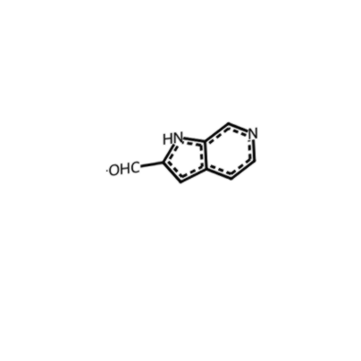 O=[C]c1cc2ccncc2[nH]1